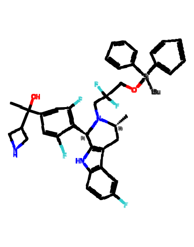 C[C@@H]1Cc2c([nH]c3ccc(F)cc23)[C@@H](c2c(F)cc(C(C)(O)C3CNC3)cc2F)N1CC(F)(F)CO[Si](c1ccccc1)(c1ccccc1)C(C)(C)C